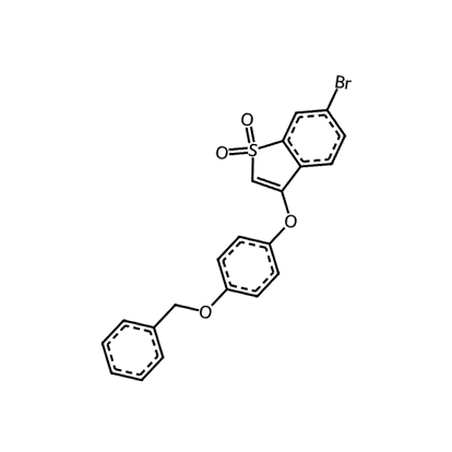 O=S1(=O)C=C(Oc2ccc(OCc3ccccc3)cc2)c2ccc(Br)cc21